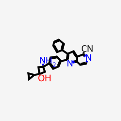 N#Cc1nccc2nc(-c3ccc(C4(N)CC(O)(C5CC5)C4)cc3)c(-c3ccccc3)cc12